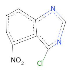 O=[N+]([O-])c1cccc2ncnc(Cl)c12